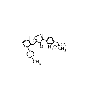 CC(Cc1ccccc1N1CCN(C)CC1)C(=O)C(=N)c1ccc(CC(C)(C)C#N)cc1